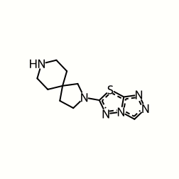 c1nnc2sc(N3CCC4(CCNCC4)C3)nn12